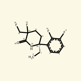 CC[C@@]1(c2cccc(F)c2F)CCC(F)(CF)C(=O)N1